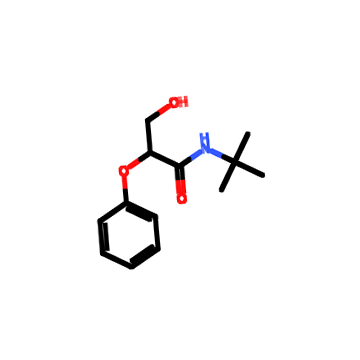 CC(C)(C)NC(=O)C(CO)Oc1ccccc1